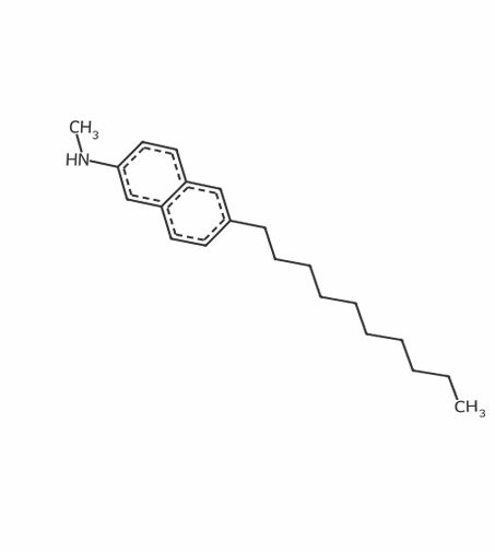 CCCCCCCCCCc1ccc2cc(NC)ccc2c1